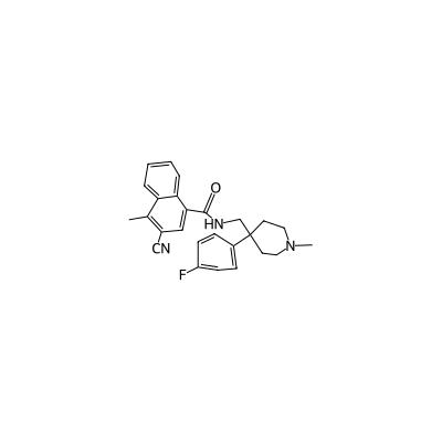 Cc1c(C#N)cc(C(=O)NCC2(c3ccc(F)cc3)CCN(C)CC2)c2ccccc12